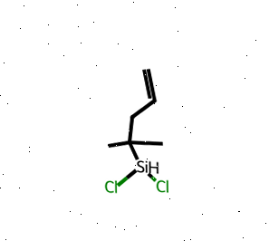 C=CCC(C)(C)[SiH](Cl)Cl